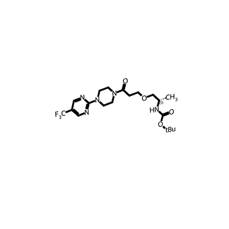 C[C@@H](COCCC(=O)N1CCN(c2ncc(C(F)(F)F)cn2)CC1)NC(=O)OC(C)(C)C